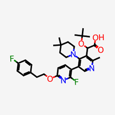 Cc1ncc(-c2ccc(OCCc3ccc(F)cc3)nc2F)c(N2CCC(C)(C)CC2)c1C(OC(C)(C)C)C(=O)O